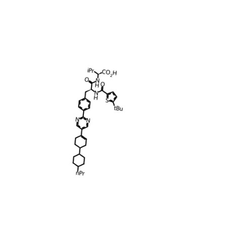 CCCC1CCC(C2CC=C(c3cnc(-c4ccc(C[C@H](NC(=O)c5ccc(C(C)(C)C)s5)C(=O)N[C@H](C(=O)O)C(C)C)cc4)nc3)CC2)CC1